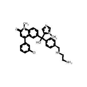 Cn1cncc1C(O)(c1ccc(CNCCN)cc1)c1ccc2c(c1)c(-c1cccc(Cl)c1)cc(=O)n2C